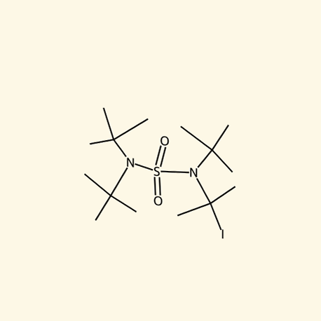 CC(C)(C)N(C(C)(C)C)S(=O)(=O)N(C(C)(C)C)C(C)(C)I